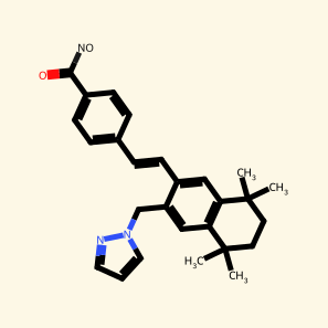 CC1(C)CCC(C)(C)c2cc(Cn3cccn3)c(/C=C/c3ccc(C(=O)N=O)cc3)cc21